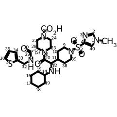 Cn1cnc(S(=O)(=O)N2CCC([C@@H](NC3CCCCC3)C(=O)N3CCN(C(=O)O)C[C@H]3C(=O)NCc3cccs3)CC2)c1